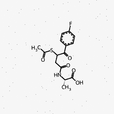 CC(=O)SC(CC(=O)N[C@@H](C)C(=O)O)C(=O)c1ccc(F)cc1